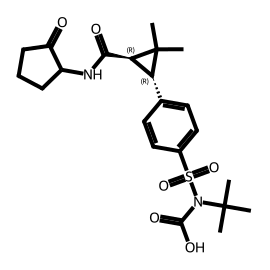 CC1(C)[C@H](C(=O)NC2CCCC2=O)[C@H]1c1ccc(S(=O)(=O)N(C(=O)O)C(C)(C)C)cc1